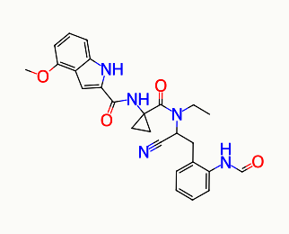 CCN(C(=O)C1(NC(=O)c2cc3c(OC)cccc3[nH]2)CC1)C(C#N)Cc1ccccc1NC=O